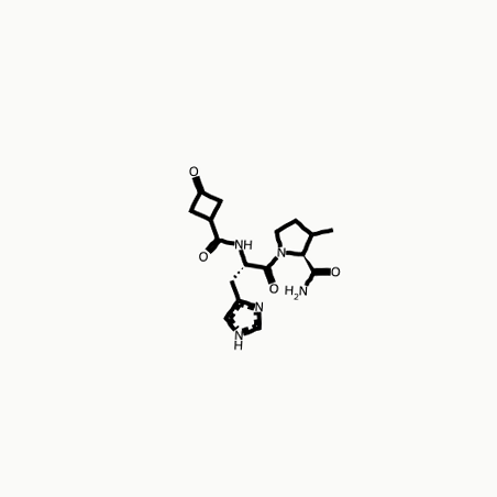 CC1CCN(C(=O)[C@H](Cc2c[nH]cn2)NC(=O)C2CC(=O)C2)[C@@H]1C(N)=O